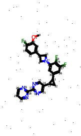 COc1cc(C2CN(c3cc(C4CC4c4cnc(-c5ncccn5)nc4)cc(F)c3F)C2)ccc1F